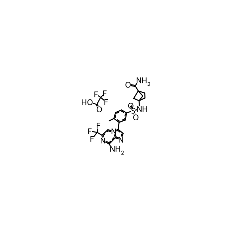 Cc1ccc(S(=O)(=O)NC23CCC(C(N)=O)(C2)C3)cc1-c1cnc2c(N)nc(C(F)(F)F)cn12.O=C(O)C(F)(F)F